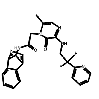 Cc1cnc(NCC(F)(F)c2ccccn2)c(=O)n1CC(=O)NC1C2=CN=C1c1ccccc12